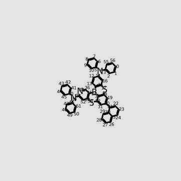 c1ccc(N(c2ccccc2)c2ccc3c(c2)Sc2cc(-c4cccc5ccccc45)cc4c2B3c2cnc(N(c3ccccc3)c3ccccc3)cc2S4)cc1